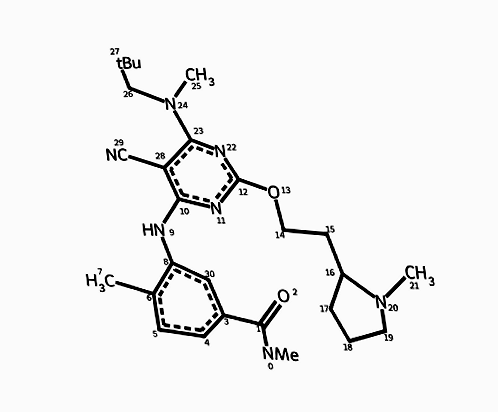 CNC(=O)c1ccc(C)c(Nc2nc(OCCC3CCCN3C)nc(N(C)CC(C)(C)C)c2C#N)c1